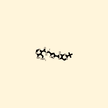 C[C@@H](NC(=O)c1ncnc(N)c1CN)c1cc(-c2nc3cnc(C(C)(C)C)nc3[nH]2)no1